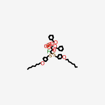 CCCCCCCCOc1ccc(CSC(SCc2ccc(OCCCCCCCC)cc2)C(F)C(OC(=O)c2ccccc2)C(COC(=O)c2ccccc2)OS(C)(=O)=O)cc1